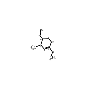 CCC1=CC(C)[C@@H](CF)CC1